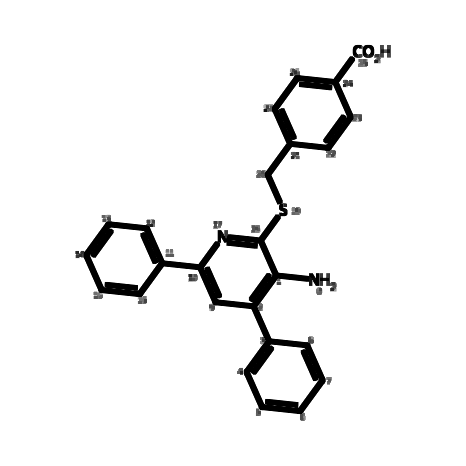 Nc1c(-c2ccccc2)cc(-c2ccccc2)nc1SCc1ccc(C(=O)O)cc1